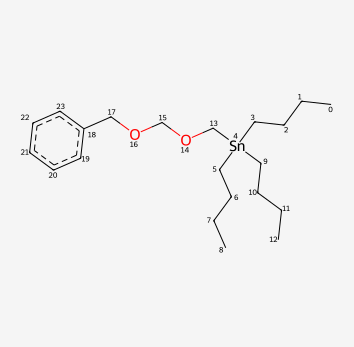 CCC[CH2][Sn]([CH2]CCC)([CH2]CCC)[CH2]OCOCc1ccccc1